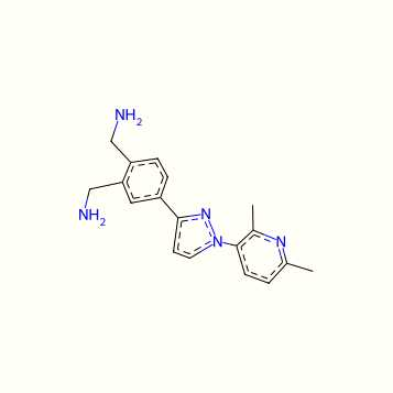 Cc1ccc(-n2ccc(-c3ccc(CN)c(CN)c3)n2)c(C)n1